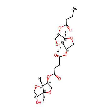 CC(=O)CCC(=O)O[C@H]1CO[C@H]2[C@@H]1OC[C@H]2OC(=O)CCC(=O)O[C@H]1CO[C@H]2[C@@H]1OC[C@H]2O